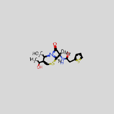 COC1(NC(=O)Cc2cccs2)C(=O)N2C(C(=O)O)C(C(C)O)=CS[C@@H]21